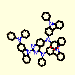 c1ccc(N(c2ccc3nc(-n4c5ccccc5c5ccc(N(c6ccccc6)c6ccccc6)cc54)nc(N(c4ccccc4)c4ccc5c(c4)c4ccccc4n5-c4ccccc4)c3c2)c2ccc3c(c2)c2ccccc2n3-c2ccccc2)cc1